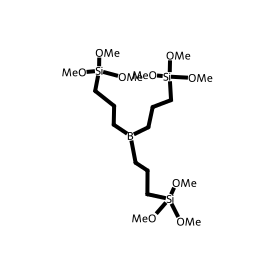 CO[Si](CCCB(CCC[Si](OC)(OC)OC)CCC[Si](OC)(OC)OC)(OC)OC